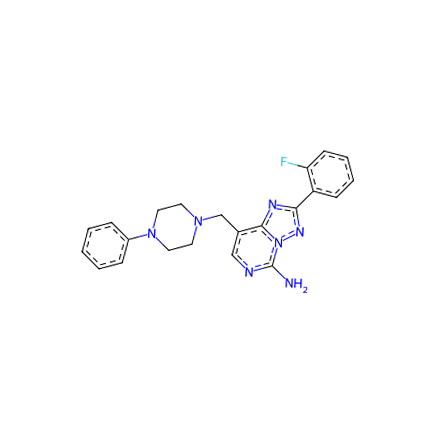 Nc1ncc(CN2CCN(c3ccccc3)CC2)c2nc(-c3ccccc3F)nn12